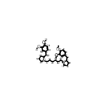 COc1ccc(CC2CCCN2CCCCCCN2CCCC2Cc2ccc(OC)c(OC)c2)cc1OC